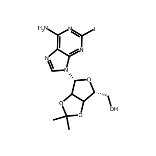 CC1(C)OC2C(O1)[C@@H](CO)O[C@H]2n1cnc2c(N)nc(I)nc21